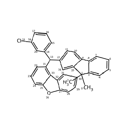 CC1(C)c2ccccc2-c2ccc(C(c3cccc(Cl)c3)c3cccc4oc5ccccc5c34)cc21